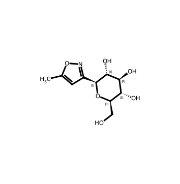 Cc1cc([C@@H]2O[C@H](CO)[C@@H](O)[C@H](O)[C@H]2O)no1